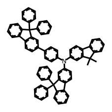 CC1(C)c2ccccc2-c2ccc(N(c3ccc(-c4ccc5c(c4)C(c4ccccc4)(c4ccccc4)c4ccccc4-5)cc3)c3ccc4c(c3)C(c3ccccc3)(c3ccccc3)c3ccccc3-4)cc21